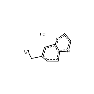 Cl.NCc1ccc2nccnc2c1